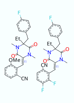 CCC1(Cc2ccc(F)cc2)C(=O)N(C)/C(=C/c2c(C#N)ccc(F)c2F)C(=O)N1C.CCC1(Cc2ccc(F)cc2)C(=O)N(C)/C(=C/c2c(C#N)cccc2OC)C(=O)N1C